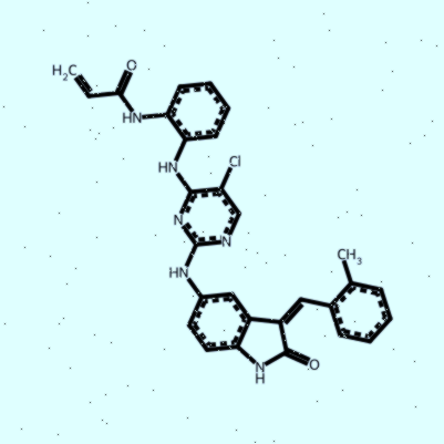 C=CC(=O)Nc1ccccc1Nc1nc(Nc2ccc3c(c2)C(=Cc2ccccc2C)C(=O)N3)ncc1Cl